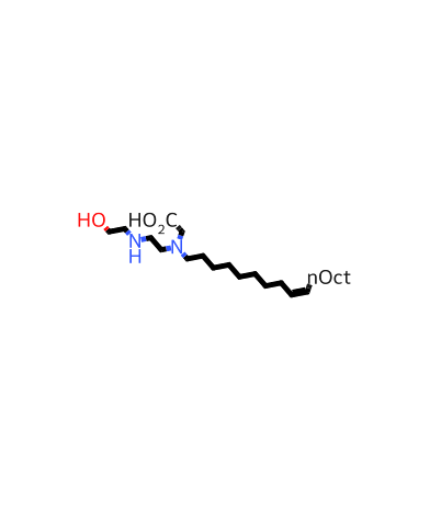 CCCCCCCC/C=C\CCCCCCCCN(CCNCCO)CC(=O)O